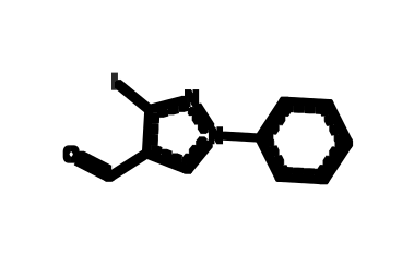 O=Cc1cn(-c2ccccc2)nc1I